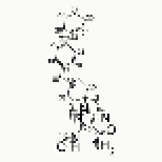 N#CCC1(n2cc(C(N)=O)c(NC=O)n2)CCN(Cc2ccc(C3=CCCCC3)cc2)CC1F